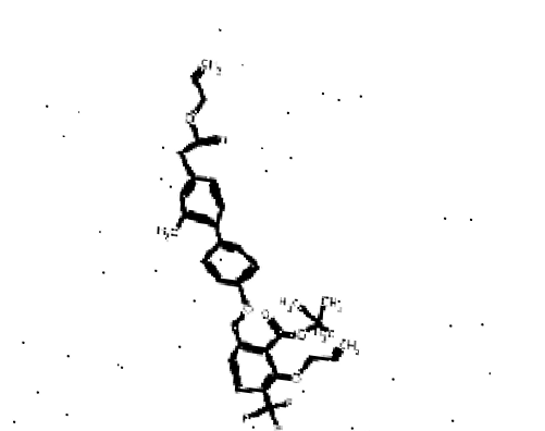 C=CCOC(=O)Cc1ccc(-c2ccc(OCc3ccc(C(F)(F)F)c(OCC=C)c3C(=O)OC(C)(C)C)cc2)c(C)c1